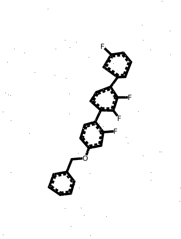 Fc1cccc(-c2ccc(-c3ccc(OCc4ccccc4)cc3F)c(F)c2F)c1